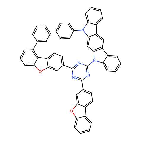 c1ccc(-c2cccc3oc4cc(-c5nc(-c6ccc7c(c6)oc6ccccc67)nc(-n6c7ccccc7c7cc8c9ccccc9n(-c9ccccc9)c8cc76)n5)ccc4c23)cc1